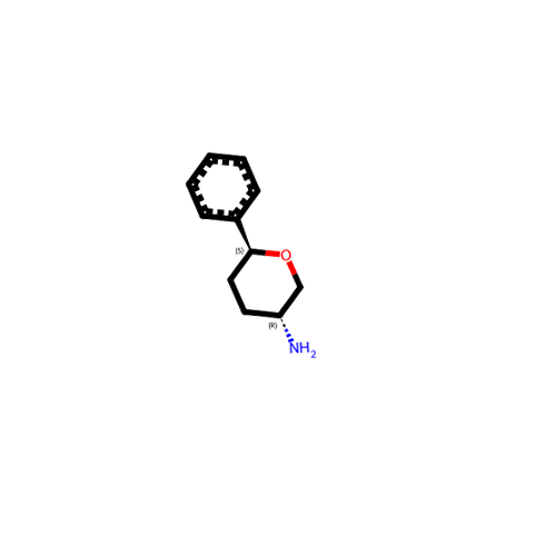 N[C@@H]1CC[C@@H](c2ccccc2)OC1